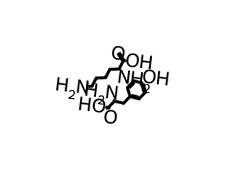 NCCCC[C@H](N)C(=O)O.N[C@@H](Cc1ccc(O)cc1)C(=O)O